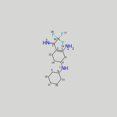 N=C(C1=C(N)CC(NC2CCCCC2)CC1)C(F)(F)F